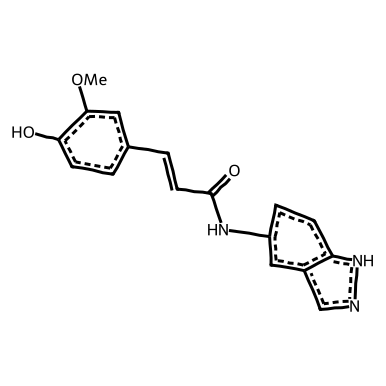 COc1cc(C=CC(=O)Nc2ccc3[nH]ncc3c2)ccc1O